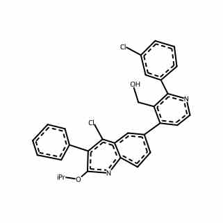 CC(C)Oc1nc2ccc(-c3ccnc(-c4cccc(Cl)c4)c3CO)cc2c(Cl)c1-c1ccccc1